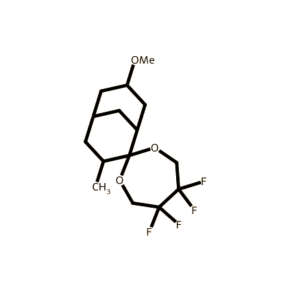 COC1CC2CC(C)C3(OCC(F)(F)C(F)(F)CO3)C(C2)C1